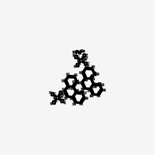 [O-][Cl+3]([O-])([O-])[O-].[O-][Cl+3]([O-])([O-])[O-].[Pd+2].c1cnc2c(c1)ccc1cccnc12.c1cnc2c(c1)ccc1cccnc12